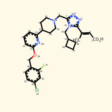 CC(=CC(=O)O)c1nnc(CN2CCC(c3cccc(OCc4ccc(Cl)cc4F)n3)CC2)n1CC1CCC1